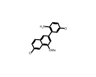 COc1cc(-c2cc(Cl)ccc2N)cc2ccc(Cl)cc12